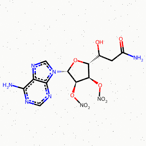 NC(=O)CC(O)[C@H]1O[C@@H](n2cnc3c(N)ncnc32)[C@H](O[N+](=O)[O-])[C@@H]1O[N+](=O)[O-]